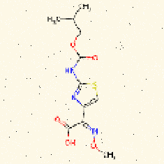 CON=C(C(=O)O)c1csc(NC(=O)OCC(C)C)n1